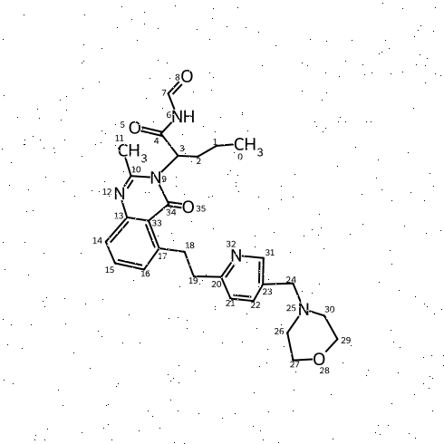 CCCC(C(=O)NC=O)n1c(C)nc2cccc(CCc3ccc(CN4CCOCC4)cn3)c2c1=O